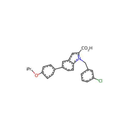 CC(C)Oc1ccc(-c2ccc3c(c2)cc(C(=O)O)n3Cc2cccc(Cl)c2)cc1